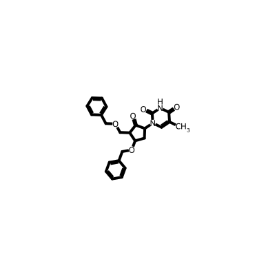 Cc1cn(C2CC(OCc3ccccc3)C(COCc3ccccc3)C2=O)c(=O)[nH]c1=O